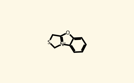 c1ccc2c(c1)oc1[n+]2CSC1